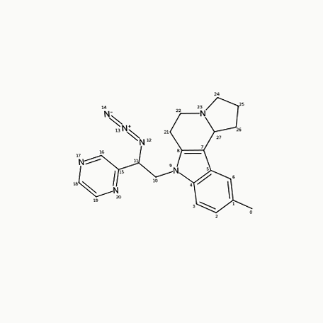 Cc1ccc2c(c1)c1c(n2CC(N=[N+]=[N-])c2cnccn2)CCN2CCCC12